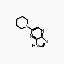 c1nc2ncc(N3CCCCC3)nc2[nH]1